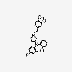 Fc1ccc2c(c1)COc1ccccc1N2C1CCN(CCc2ccc3c(c2)OCO3)C1